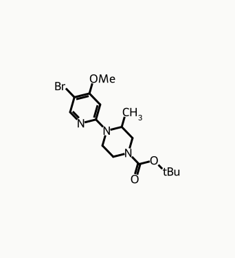 COc1cc(N2CCN(C(=O)OC(C)(C)C)CC2C)ncc1Br